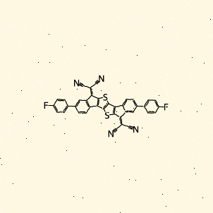 N#CC(C#N)=C1c2cc(-c3ccc(F)cc3)ccc2-c2c1sc1c3c(sc21)C(=C(C#N)C#N)c1cc(-c2ccc(F)cc2)ccc1-3